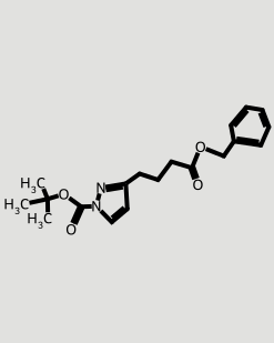 CC(C)(C)OC(=O)n1ccc(CCCC(=O)OCc2ccccc2)n1